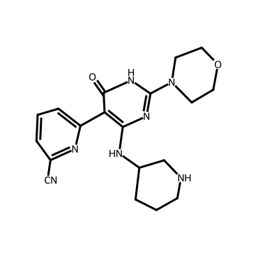 N#Cc1cccc(-c2c(NC3CCCNC3)nc(N3CCOCC3)[nH]c2=O)n1